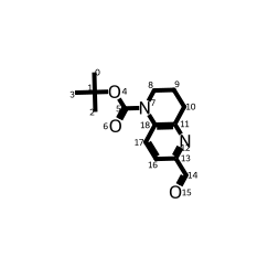 CC(C)(C)OC(=O)N1CCCc2nc(C=O)ccc21